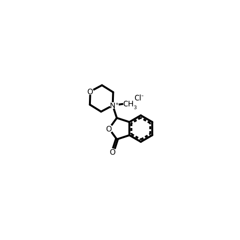 C[N+]1(C2OC(=O)c3ccccc32)CCOCC1.[Cl-]